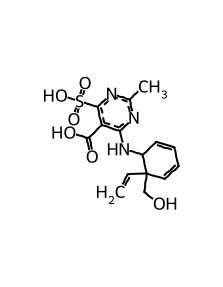 C=CC1(CO)C=CC=CC1Nc1nc(C)nc(S(=O)(=O)O)c1C(=O)O